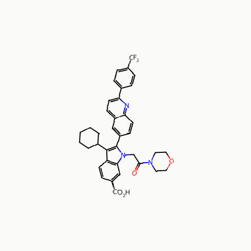 O=C(O)c1ccc2c(C3CCCCC3)c(-c3ccc4nc(-c5ccc(C(F)(F)F)cc5)ccc4c3)n(CC(=O)N3CCOCC3)c2c1